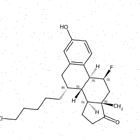 C[C@]12C[C@H](F)[C@@H]3c4ccc(O)cc4C[C@@H](CCCCCCl)[C@H]3[C@@H]1CCC2=O